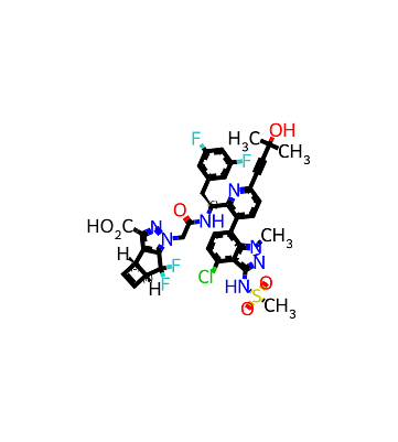 Cn1nc(NS(C)(=O)=O)c2c(Cl)ccc(-c3ccc(C#CC(C)(C)O)nc3[C@H](Cc3cc(F)cc(F)c3)NC(=O)Cn3nc(C(=O)O)c4c3C(F)(F)[C@@H]3C=C[C@H]43)c21